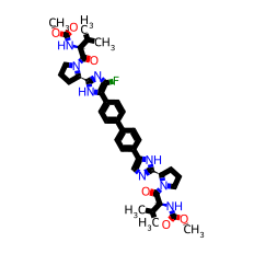 COC(=O)N[C@H](C(=O)N1CCC[C@H]1c1ncc(-c2ccc(-c3ccc(-c4[nH]c([C@@H]5CCCN5C(=O)[C@@H](NC(=O)OC)C(C)C)nc4F)cc3)cc2)[nH]1)C(C)C